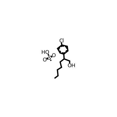 CCCCCC(CO)c1ccc(Cl)cc1.CS(=O)(=O)O